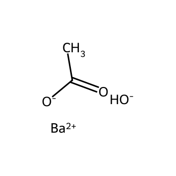 CC(=O)[O-].[Ba+2].[OH-]